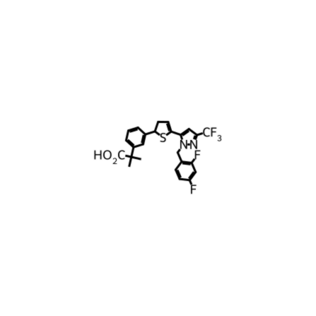 CC(C)(C(=O)O)c1cccc(C2CC=C(c3cc(C(F)(F)F)nn3Cc3ccc(F)cc3F)S2)c1